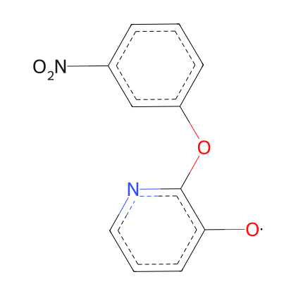 [O]c1cccnc1Oc1cccc([N+](=O)[O-])c1